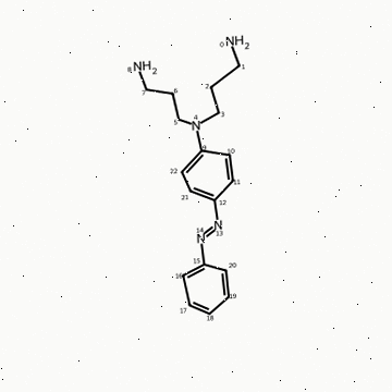 NCCCN(CCCN)c1ccc(N=Nc2ccccc2)cc1